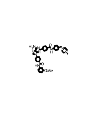 COc1cccc(NC(=O)[C@H]2CC[C@@H](n3cnc4c(N)nc(-c5ccc(C(=O)Nc6ccc(CN7CCN(C)CC7)cc6)cc5)nc43)CC2)c1